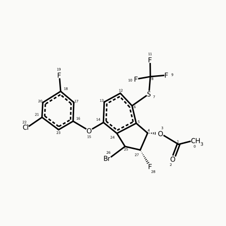 CC(=O)O[C@H]1c2c(SC(F)(F)F)ccc(Oc3cc(F)cc(Cl)c3)c2C(Br)[C@H]1F